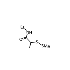 CCNC(=O)C(C)SSC